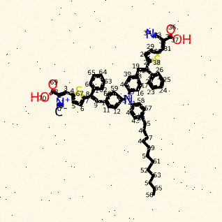 [C-]#[N+]/C(=C\c1ccc(/C(=C/c2ccc(N(c3ccc(/C=C(\c4ccccc4)c4ccc(/C=C(\C#N)C(=O)O)s4)cc3)c3ccc(CCCCCCCCCCCC)cc3)cc2)c2ccccc2)s1)C(=O)O